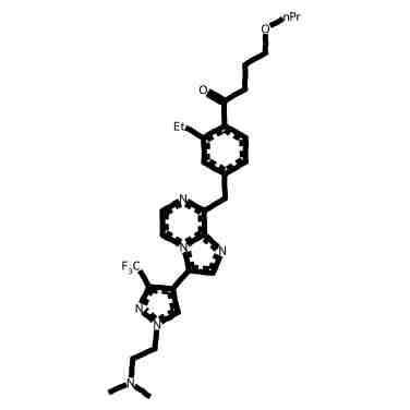 CCCOCCCC(=O)c1ccc(Cc2nccn3c(-c4cn(CCN(C)C)nc4C(F)(F)F)cnc23)cc1CC